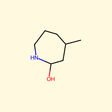 CC1CCCNC(O)C1